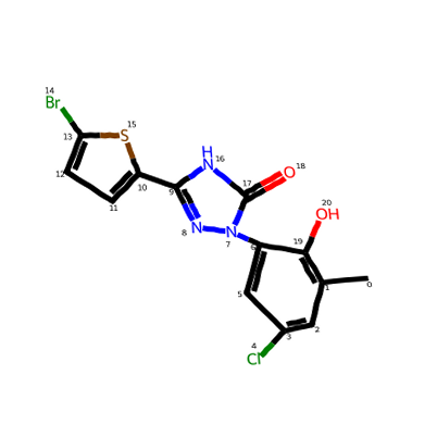 Cc1cc(Cl)cc(-n2nc(-c3ccc(Br)s3)[nH]c2=O)c1O